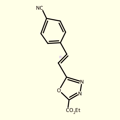 CCOC(=O)c1nnc(/C=C/c2ccc(C#N)cc2)o1